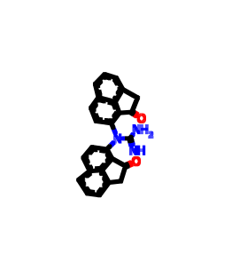 N=C(N)N(c1ccc2cccc3c2c1C(=O)C3)c1ccc2cccc3c2c1C(=O)C3